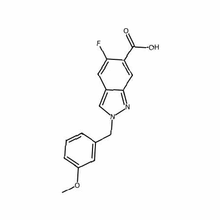 COc1cccc(Cn2cc3cc(F)c(C(=O)O)cc3n2)c1